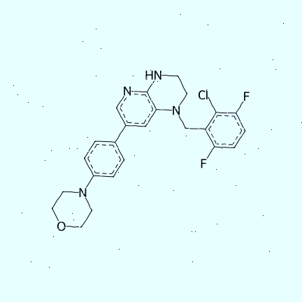 Fc1ccc(F)c(CN2CCNc3ncc(-c4ccc(N5CCOCC5)cc4)cc32)c1Cl